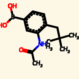 CC(=O)Nc1cc(B(O)O)ccc1CC(C)(C)C